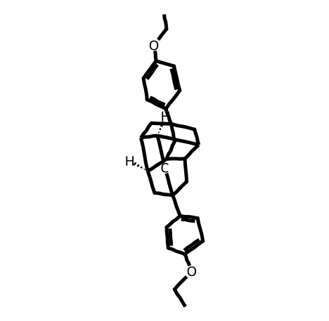 CCOc1ccc(C23CC4C5CC6(c7ccc(OCC)cc7)C[C@H]4C(C2)[C@H](C6)C5C3)cc1